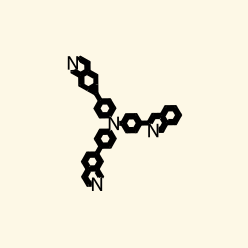 C1=c2ccncc2=CC2C1=C2c1ccc(N(c2ccc(-c3ccc4ccncc4c3)cc2)c2ccc(-c3cc4ccccc4cn3)cc2)cc1